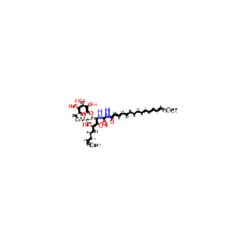 CCCCCCCCCCCCCCCCCCCCCCCC(=O)NC(=O)N[C@@H](CO[C@H]1O[C@H](COC)[C@H](O)[C@H](O)[C@H]1O)[C@H](O)[C@H](O)CCCCCCCCCCCCCC